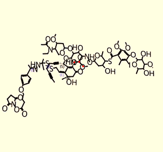 CC#C/C=C\C#C[C@H](OC1OC(C)C(NOC2CC(O)C(SC(=O)c3c(C)c(I)c(OC4OC(C)C(O)C(OC)C4O)c(OC)c3OC)C(C)O2)C(O)C1OC1CC(OC)C(N(CC)C(C)=O)CO1)C1=C(NC(=O)OC)C(=O)C[C@](C)(O)/C1=C/CSSC(C)(C)N/N=C(\C)c1ccc(OCCCC(=O)ON2C(=O)CCC2=O)cc1